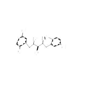 O=C(C(Br)Cc1cc(Cl)ccc1Cl)C(Br)Cc1cc(Cl)ccc1Cl